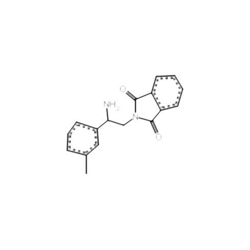 Cc1cccc(C(N)CN2C(=O)c3ccccc3C2=O)c1